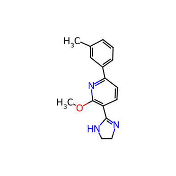 COc1nc(-c2cccc(C)c2)ccc1C1=NCCN1